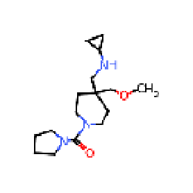 COCC1(CNC2CC2)CCN(C(=O)N2CCCC2)CC1